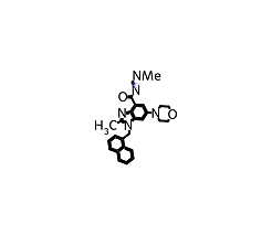 CN/C=N/C(=O)c1cc(N2CCOCC2)cc2c1nc(C)n2Cc1cccc2ccccc12